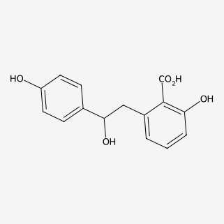 O=C(O)c1c(O)cccc1CC(O)c1ccc(O)cc1